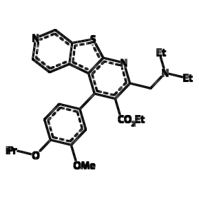 CCOC(=O)c1c(CN(CC)CC)nc2sc3cnccc3c2c1-c1ccc(OC(C)C)c(OC)c1